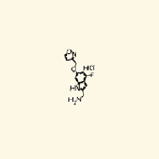 Cl.NCc1cc2c(F)cc(OCc3ccon3)cc2[nH]1